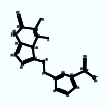 Cc1c(C)n2c(SCc3cccc([N+](=O)[O-])c3)nnc2[nH]c1=O